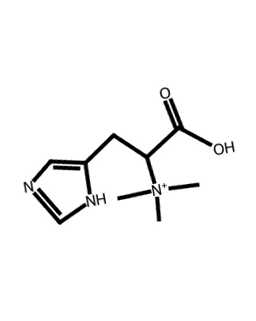 C[N+](C)(C)C(Cc1cnc[nH]1)C(=O)O